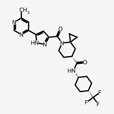 Cc1cc(-c2cc(C(=O)N3CC[C@@H](C(=O)N[C@H]4CC[C@@H](C(F)(F)F)CC4)CC34CC4)n[nH]2)ncn1